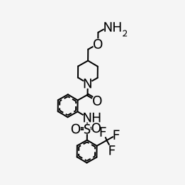 NCOCC1CCN(C(=O)c2ccccc2NS(=O)(=O)c2ccccc2C(F)(F)F)CC1